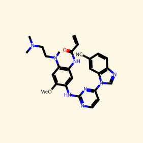 C=CC(=O)Nc1cc(Nc2nccc(-n3cnc4ccc(C#N)cc43)n2)c(OC)cc1N(C)CCN(C)C